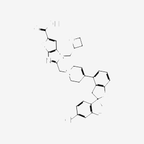 C[C@@]1(c2ccc(Cl)cc2F)Cc2c(cccc2C2=CCN(Cc3nc4sc(C(=O)O)cc4n3C[C@@H]3CCO3)CC2)O1